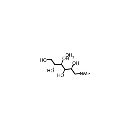 CNC[C@H](O)[C@@H](O)[C@H](O)[C@H](O)CO.O